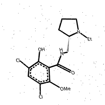 CCN1CCC[C@H]1CNC(=O)c1c(O)c(Cl)cc(Cl)c1O[11CH3]